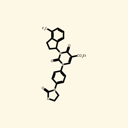 CCOC(=O)c1cn(-c2ccc(N3CCOC3=O)cc2)c(=O)n(C2CCc3c2cccc3C(F)(F)F)c1=O